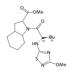 CC[C@H](C)[C@H](Nc1nc(OC)ns1)C(=O)N1C(C(=O)OC)CC2CCCCC21